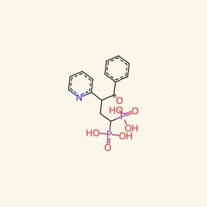 O=C(c1ccccc1)C(CC(P(=O)(O)O)P(=O)(O)O)c1ccccn1